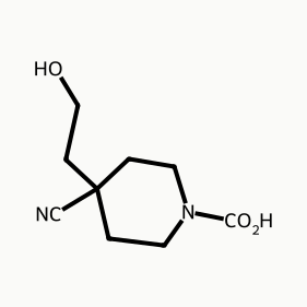 N#CC1(CCO)CCN(C(=O)O)CC1